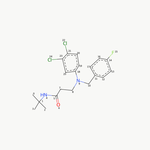 CC(C)(C)NC(=O)CCN(Cc1ccc(F)cc1)c1ccc(Cl)c(Cl)c1